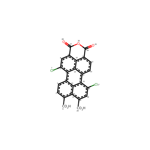 O=C(O)c1ccc2c3c(Cl)cc4c5c(ccc(c6c(Cl)cc(C(=O)O)c1c26)c53)C(=O)OC4=O